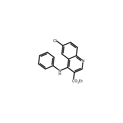 CCOC(=O)c1cnc2ccc(Cl)cc2c1Nc1ccccc1